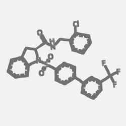 O=C(NCc1ccccc1Cl)[C@@H]1Cc2ccccc2N1S(=O)(=O)c1ccc(-c2cccc(C(F)(F)F)c2)cc1